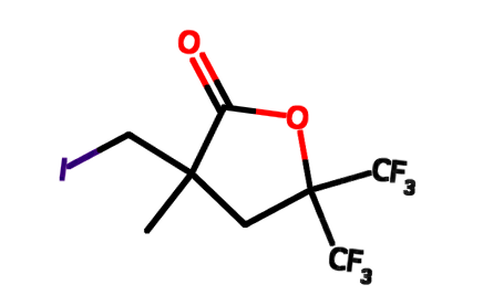 CC1(CI)CC(C(F)(F)F)(C(F)(F)F)OC1=O